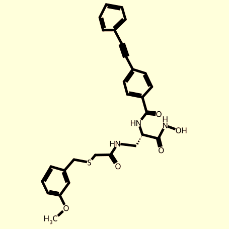 COc1cccc(CSCC(=O)NC[C@H](NC(=O)c2ccc(C#Cc3ccccc3)cc2)C(=O)NO)c1